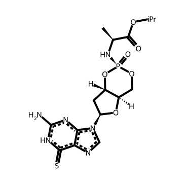 CC(C)OC(=O)[C@H](C)N[P@@]1(=O)OC[C@H]2O[C@@H](n3cnc4c(=S)[nH]c(N)nc43)C[C@@H]2O1